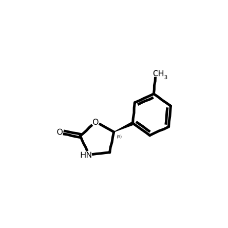 Cc1cccc([C@H]2CNC(=O)O2)c1